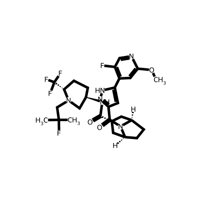 COc1cc(-c2cc(C(=O)N3[C@@H]4CC[C@H]3C[C@H](C(=O)N[C@@H]3CC[C@@H](C(F)(F)F)N(CC(C)(C)F)C3)C4)n[nH]2)c(F)cn1